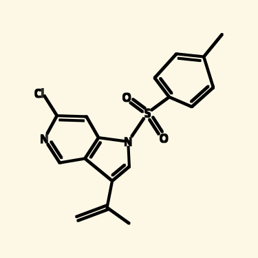 C=C(C)c1cn(S(=O)(=O)c2ccc(C)cc2)c2cc(Cl)ncc12